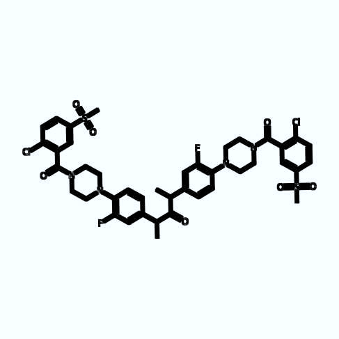 CC(C(=O)C(C)c1ccc(N2CCN(C(=O)c3cc(S(C)(=O)=O)ccc3Cl)CC2)c(F)c1)c1ccc(N2CCN(C(=O)c3cc(S(C)(=O)=O)ccc3Cl)CC2)c(F)c1